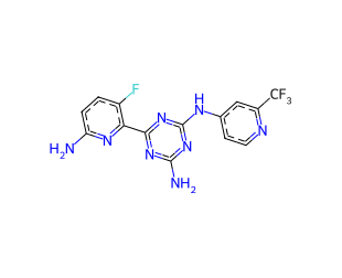 Nc1ccc(F)c(-c2nc(N)nc(Nc3ccnc(C(F)(F)F)c3)n2)n1